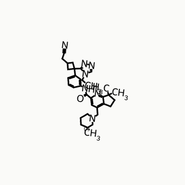 CCn1cnnc1C1(c2cccc(NC(=O)c3cc(CN4CCC[C@H](C)C4)c4c(n3)C(C)(C)CC4)c2)CC(CC#N)C1